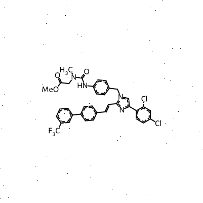 COC(=O)CN(C)C(=O)Nc1ccc(Cn2cc(-c3ccc(Cl)cc3Cl)nc2C=Cc2ccc(-c3cccc(C(F)(F)F)c3)cc2)cc1